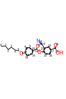 CCCCCCOc1ccc(C(=O)Oc2ccc(C(=O)O)cc2C#N)cc1